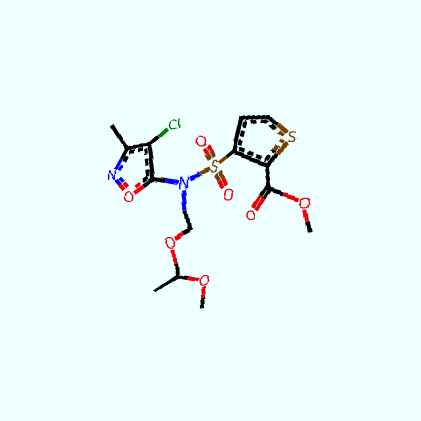 COC(=O)c1sccc1S(=O)(=O)N(COC(C)OC)c1onc(C)c1Cl